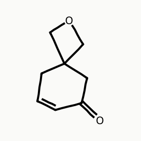 O=C1C=CCC2(COC2)C1